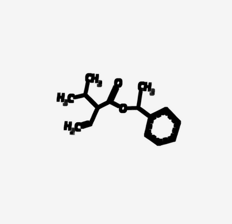 C=CC(C(=O)OC(C)c1ccccc1)C(C)C